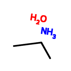 CCC.N.O